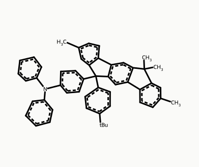 Cc1ccc2c(c1)C(C)(C)c1cc3c(cc1-2)C(c1ccc(N(c2ccccc2)c2ccccc2)cc1)(c1ccc(C(C)(C)C)cc1)c1cc(C)ccc1-3